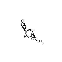 CCOC(=O)CN1CCNCCN(Cc2ccc3cc(Cl)ccc3n2)CCNCC1